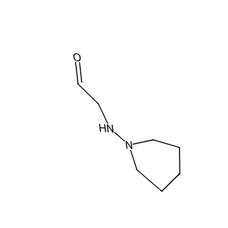 O=CCNN1CCCCC1